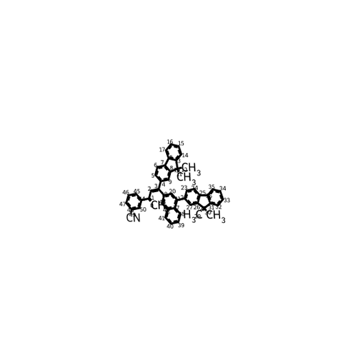 C=C(/C=C(/c1ccc2c(c1)C(C)(C)c1ccccc1-2)c1cc(-c2ccc3c(c2)C(C)(C)c2ccccc2-3)c2ccccc2c1)c1cccc(C#N)c1